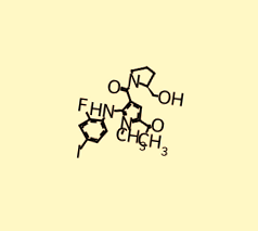 CC(=O)c1cc(C(=O)N2CCC[C@H]2CO)c(Nc2ccc(I)cc2F)n1C